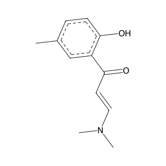 Cc1ccc(O)c(C(=O)C=CN(C)C)c1